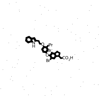 CC(C)c1cc(Oc2c(Br)cc3c(c2Br)CCC3CC(=O)O)ccc1OCCc1cc2ccccc2[nH]1